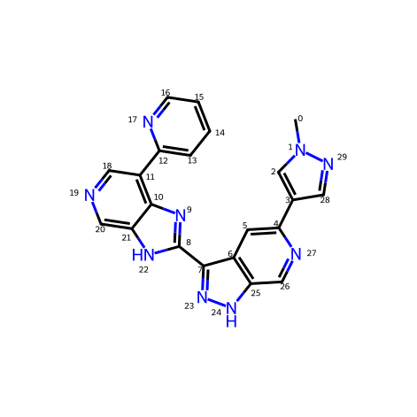 Cn1cc(-c2cc3c(-c4nc5c(-c6ccccn6)cncc5[nH]4)n[nH]c3cn2)cn1